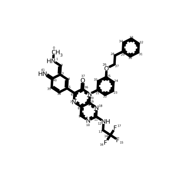 CN/C=C1/C=C(c2nc3cnc(NCC(F)(F)F)nc3n(-c3cccc(OCCc4ccccc4)c3)c2=O)C=CC1=N